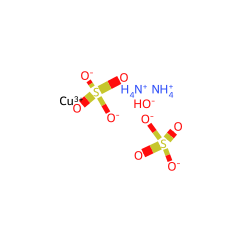 O=S(=O)([O-])[O-].O=S(=O)([O-])[O-].[Cu+3].[NH4+].[NH4+].[OH-]